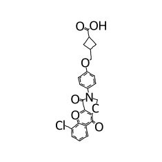 O=C(O)C1CC(COc2ccc(N3CCc4c(oc5c(Cl)cccc5c4=O)C3=O)cc2)C1